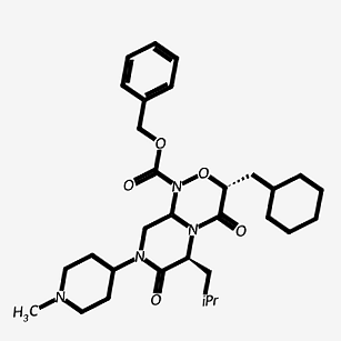 CC(C)C[C@H]1C(=O)N(C2CCN(C)CC2)CC2N(C(=O)OCc3ccccc3)O[C@H](CC3CCCCC3)C(=O)N21